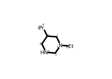 CCN1CNCC(C(C)C)C1